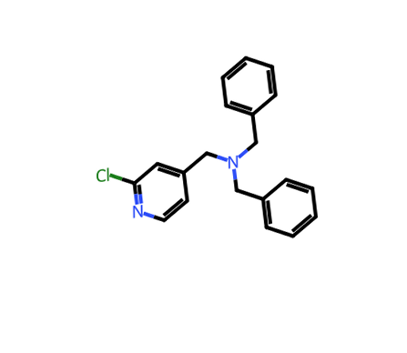 Clc1cc(CN(Cc2ccccc2)Cc2ccccc2)ccn1